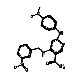 C[S+]([O-])c1ccc(Nc2cc(NCc3cccc([N+](=O)[O-])c3)c(C(N)=O)cn2)cc1